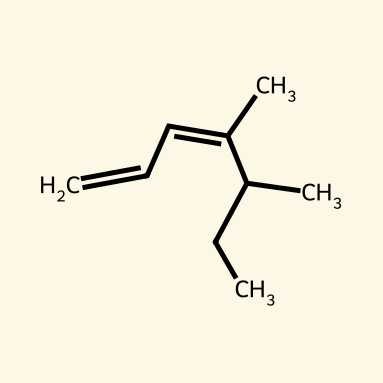 C=C/C=C(/C)C(C)CC